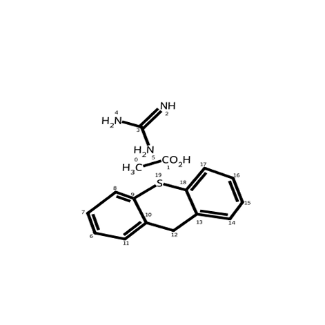 CC(=O)O.N=C(N)N.c1ccc2c(c1)Cc1ccccc1S2